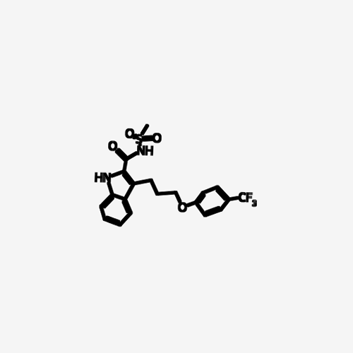 CS(=O)(=O)NC(=O)c1[nH]c2ccccc2c1CCCOc1ccc(C(F)(F)F)cc1